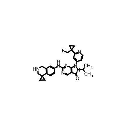 CC(C)n1c(=O)c2cnc(Nc3ccc4c(c3)CNCC43CC3)nc2n1-c1ccnc(C2(CF)CC2)c1